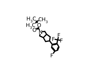 CC(C)(C)OC(=O)N1CC2CC(c3cc(F)ccc3C(F)(F)F)CC2C1